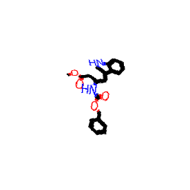 COC(=O)CC(Cc1c[nH]c2ccccc12)NC(=O)OCc1ccccc1